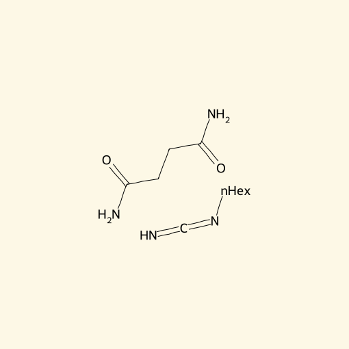 CCCCCCN=C=N.NC(=O)CCC(N)=O